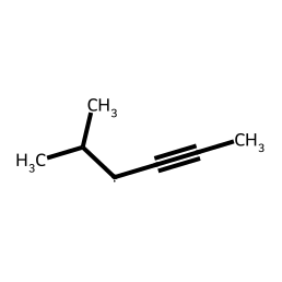 CC#C[CH]C(C)C